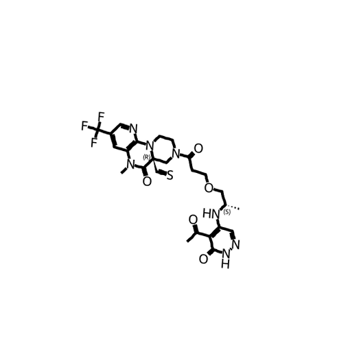 CC(=O)c1c(N[C@@H](C)COCCC(=O)N2CCN3c4ncc(C(F)(F)F)cc4N(C)C(=O)[C@@]3(C=S)C2)cn[nH]c1=O